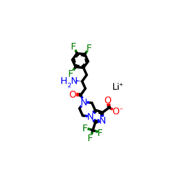 N[C@@H](CC(=O)N1CCn2c(C(F)(F)F)nc(C(=O)[O-])c2C1)Cc1cc(F)c(F)cc1F.[Li+]